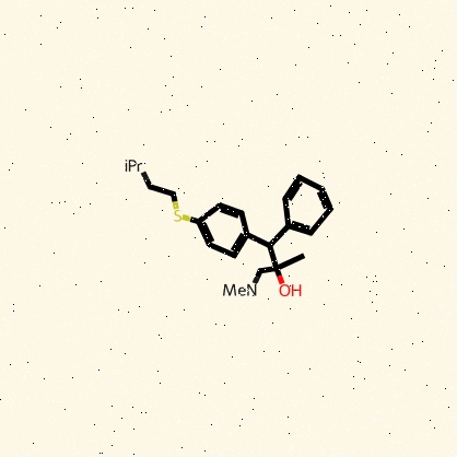 CNCC(C)(O)C(c1ccccc1)c1ccc(SCCC(C)C)cc1